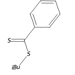 CCC(C)SC(=S)c1ccccc1